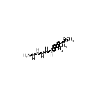 COC(=O)CCC[C@H]1CCC2C3CCC4C[C@@H](NCCNCCNCCNCCNCCN)CC[C@]4(C)C3CC[C@@]21C